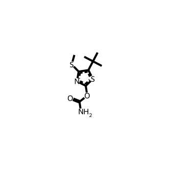 CSc1nc(OC(N)=O)sc1C(C)(C)C